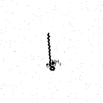 CCCCCCCCCCCCCCCCCCN(C(N)=O)C(OC)c1ccccc1